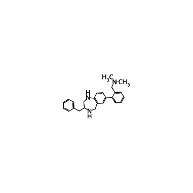 CN(C)Cc1ccccc1-c1ccc2c(c1)CNC(Cc1ccccc1)CN2